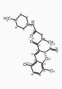 CN1CCN(NC(=O)CN(C)C(=O)/C(=C/c2c(Cl)ccc(Cl)c2Cl)SC=S)CC1